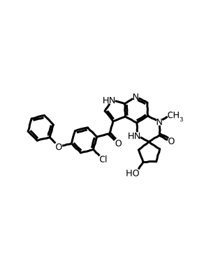 CN1C(=O)C2(CCC(O)C2)Nc2c1cnc1[nH]cc(C(=O)c3ccc(Oc4ccccc4)cc3Cl)c21